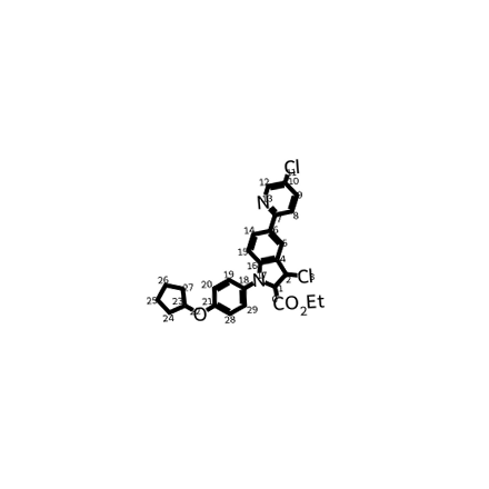 CCOC(=O)C1C(Cl)c2cc(-c3ccc(Cl)cn3)ccc2N1c1ccc(OC2CCCC2)cc1